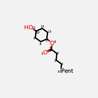 CCCC(C)CCCC(=O)OC1CCC(O)CC1